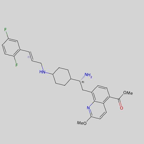 COC(=O)c1ccc(C[C@@H](N)C2CCC(NC/C=C/c3cc(F)ccc3F)CC2)c2nc(OC)ccc12